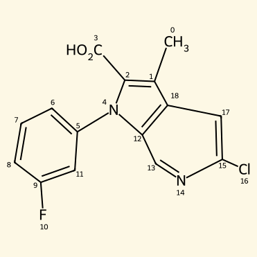 Cc1c(C(=O)O)n(-c2cccc(F)c2)c2cnc(Cl)cc12